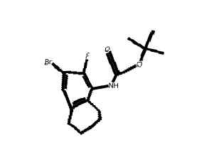 CC(C)(C)OC(=O)Nc1c(F)c(Br)cc2c1CCC2